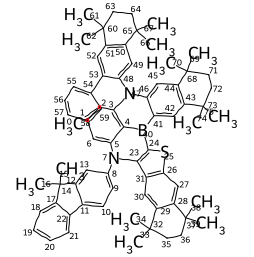 Cc1cc2c3c(c1)N(c1ccc4c(c1)C(C)(C)c1ccccc1-4)c1c(sc4cc5c(cc14)C(C)(C)CCC5(C)C)B3c1cc3c(cc1N2c1cc2c(cc1-c1ccccc1)C(C)(C)CCC2(C)C)C(C)(C)CCC3(C)C